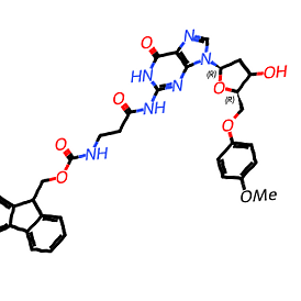 COc1ccc(OC[C@H]2O[C@@H](n3cnc4c(=O)[nH]c(NC(=O)CCNC(=O)OCC5c6ccccc6-c6ccccc65)nc43)CC2O)cc1